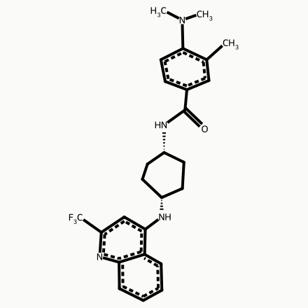 Cc1cc(C(=O)N[C@H]2CC[C@@H](Nc3cc(C(F)(F)F)nc4ccccc34)CC2)ccc1N(C)C